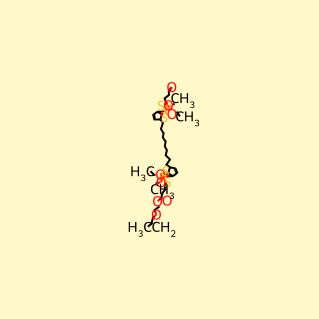 C=C(C)COCCOC(=O)CCCSC1(P(OCC)OCC)SC2(CCCCCCCCCCC34C=CC(C3)C(SCCCC=O)(P(OCC)OCC)S4)C=CC1C2